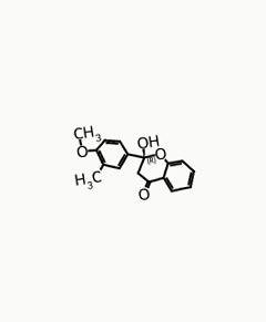 COc1ccc([C@@]2(O)CC(=O)c3ccccc3O2)cc1C